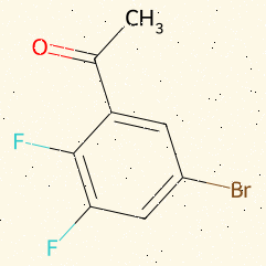 CC(=O)c1cc(Br)cc(F)c1F